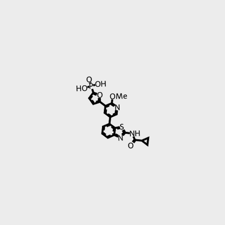 COc1ncc(-c2cccc3nc(NC(=O)C4CC4)sc23)cc1-c1ccc(P(=O)(O)O)o1